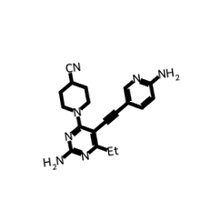 CCc1nc(N)nc(N2CCC(C#N)CC2)c1C#Cc1ccc(N)nc1